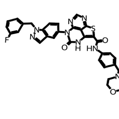 O=C(Nc1ccc(CN2CCOCC2)cc1)c1sc2ncnc3c2c1NC(=O)N3c1ccc2c(cnn2Cc2cccc(F)c2)c1